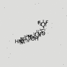 O=C(/C=C/c1cc(F)cc(F)c1)N1CCC(C(O)CN2CCC(c3cc[nH]n3)CC2)CC1